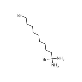 NC(N)(Br)CCCCCCCCCBr